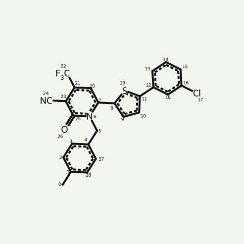 Cc1ccc(Cn2c(-c3ccc(-c4cccc(Cl)c4)s3)cc(C(F)(F)F)c(C#N)c2=O)cc1